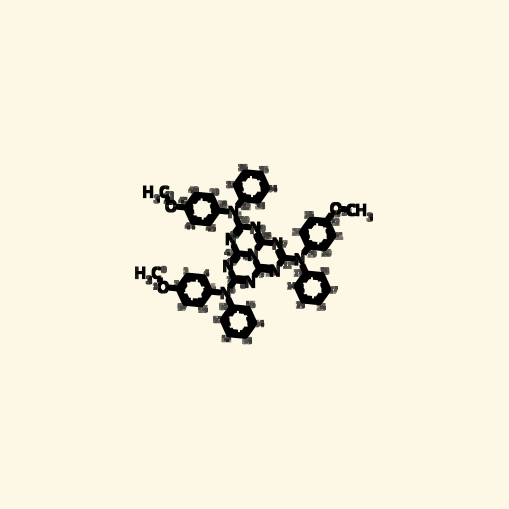 COc1ccc(N(C2=NC3=NC(N(c4ccccc4)c4ccc(OC)cc4)=NC4=NC(N(c5ccccc5)c5ccc(OC)cc5)=NC(=N2)N34)c2ccccc2)cc1